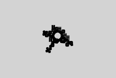 COC(=O)Nc1ccc2c(c1)NC(=O)CC(O)C(O)CC(NC(=O)OC(C)(C)C)c1nc-2cn1COCC[Si](C)(C)C